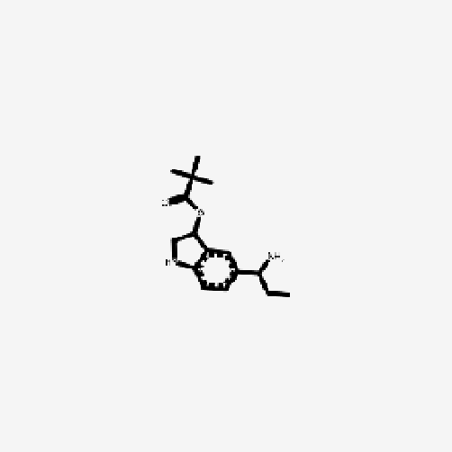 CCC(N)c1ccc2c(c1)C(OC(=O)C(C)(C)C)CN2